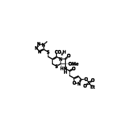 CCS(=O)(=O)Oc1cc(CC(=O)N[C@]2(OC)C(=O)N3C(C(=O)O)=C(CSc4nnnn4C)CS[C@@H]32)on1